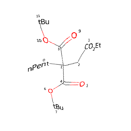 CCCCCC(CC(=O)OCC)(C(=O)OC(C)(C)C)C(=O)OC(C)(C)C